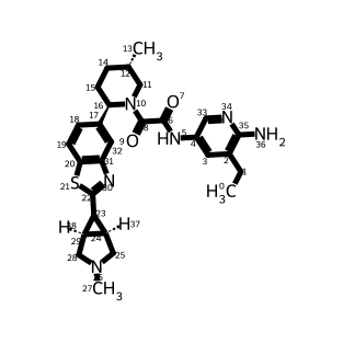 CCc1cc(NC(=O)C(=O)N2C[C@@H](C)CC[C@@H]2c2ccc3sc(C4[C@H]5CN(C)C[C@@H]45)nc3c2)cnc1N